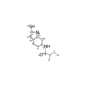 CCC(C)C(=O)Nc1ccc2sc(S)nc2c1